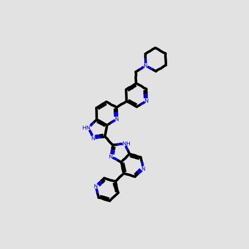 c1cncc(-c2cncc3[nH]c(-c4n[nH]c5ccc(-c6cncc(CN7CCCCC7)c6)nc45)nc23)c1